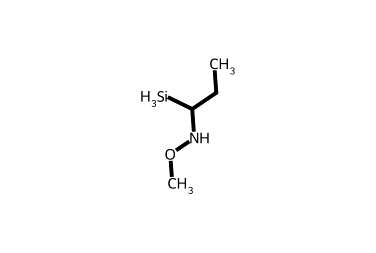 CCC([SiH3])NOC